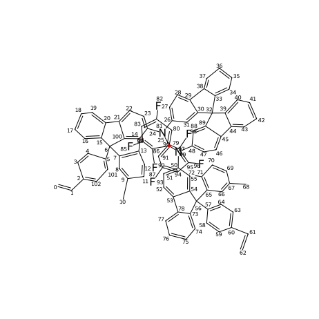 C=Cc1ccc(C2(c3cc(C)ccc3C)c3ccccc3-c3ccc(N(c4ccc5c(c4)C4(c6ccccc6-5)c5ccccc5-c5ccc(N(c6ccc7c(c6)C(c6ccc(C=C)cc6)(c6cc(C)ccc6C)c6ccccc6-7)c6cc(F)cc(F)c6F)cc54)c4cc(F)cc(F)c4F)cc32)cc1